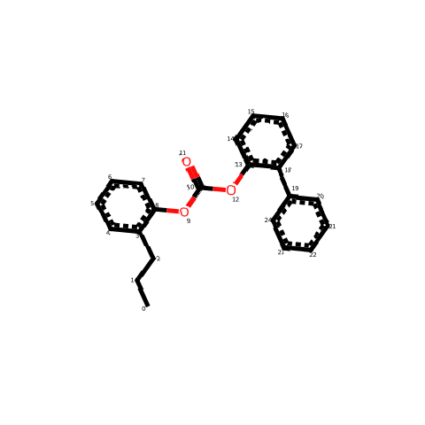 CCCc1ccccc1OC(=O)Oc1ccccc1-c1ccccc1